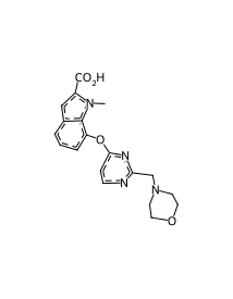 Cn1c(C(=O)O)cc2cccc(Oc3ccnc(CN4CCOCC4)n3)c21